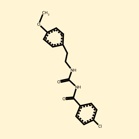 COc1ccc(CCNC(=O)NC(=O)c2ccc(Cl)cc2)cc1